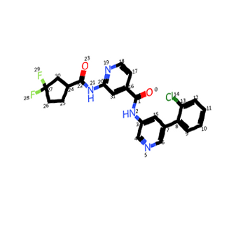 O=C(Nc1cncc(-c2ccccc2Cl)c1)c1ccnc(NC(=O)C2CCC(F)(F)C2)c1